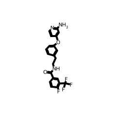 Nc1cc(Oc2cccc(CCNC(=O)c3ccc(F)c(C(F)(F)F)c3)c2)ccn1